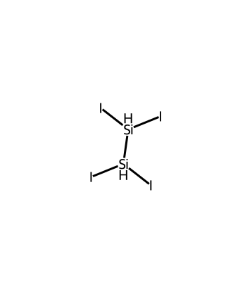 I[SiH](I)[SiH](I)I